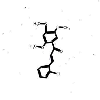 COc1cc(C(=O)/C=C/c2ccccc2Cl)c(OC)cc1SC